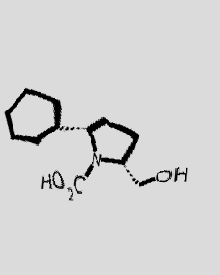 O=C(O)N1[C@@H](CO)CC[C@H]1C1CCCCC1